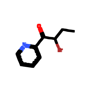 CCC(Br)C(=O)c1ccccn1